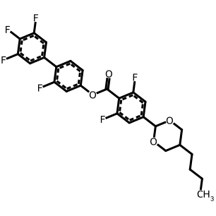 CCCCC1COC(c2cc(F)c(C(=O)Oc3ccc(-c4cc(F)c(F)c(F)c4)c(F)c3)c(F)c2)OC1